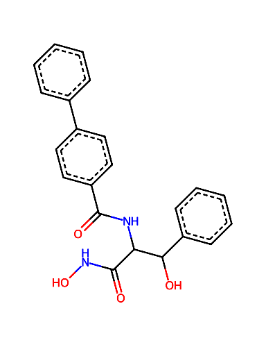 O=C(NC(C(=O)NO)C(O)c1ccccc1)c1ccc(-c2ccccc2)cc1